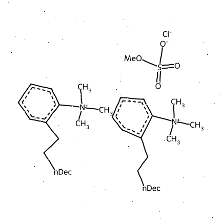 CCCCCCCCCCCCc1ccccc1[N+](C)(C)C.CCCCCCCCCCCCc1ccccc1[N+](C)(C)C.COS(=O)(=O)[O-].[Cl-]